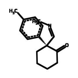 C/N=C\[C@]1(c2ccc(C)cc2)CCCCC1=O